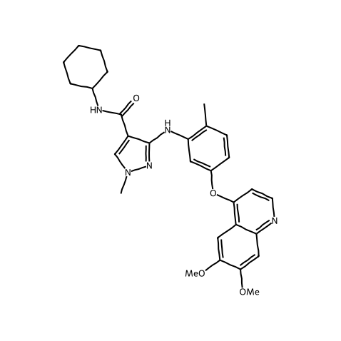 COc1cc2nccc(Oc3ccc(C)c(Nc4nn(C)cc4C(=O)NC4CCCCC4)c3)c2cc1OC